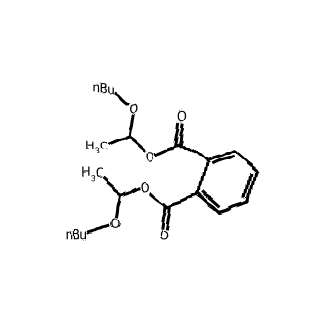 CCCCOC(C)OC(=O)c1ccccc1C(=O)OC(C)OCCCC